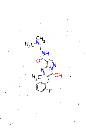 Cc1nc2c(C(=O)NCCN(C)C)cnn2c(O)c1Cc1ccccc1F